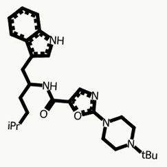 CC(C)CCC(Cc1c[nH]c2ccccc12)NC(=O)c1cnc(N2CCN(C(C)(C)C)CC2)o1